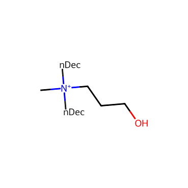 CCCCCCCCCC[N+](C)(CCCO)CCCCCCCCCC